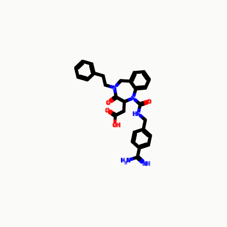 N=C(N)c1ccc(CNC(=O)N2c3ccccc3CN(CCc3ccccc3)C(=O)C2CC(=O)O)cc1